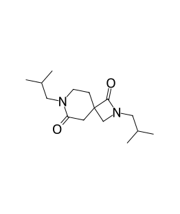 CC(C)CN1CCC2(CC1=O)CN(CC(C)C)C2=O